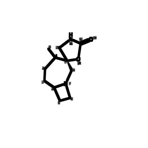 CC1CCC2CCN2C[C@@]12CNC(=O)O2